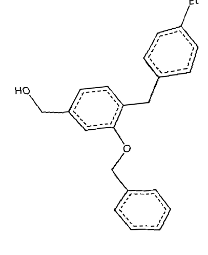 CCc1ccc(Cc2ccc(CO)cc2OCc2ccccc2)cc1